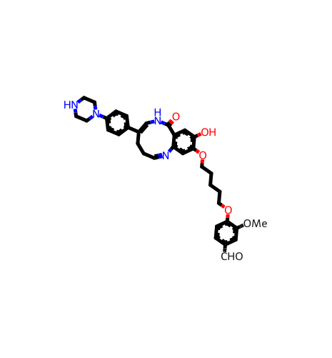 COc1cc(C=O)ccc1OCCCCCOc1cc2c(cc1O)C(=O)N/C=C(/c1ccc(N3CCNCC3)cc1)CC/C=N\2